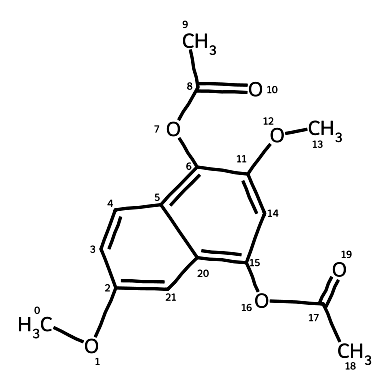 COc1ccc2c(OC(C)=O)c(OC)cc(OC(C)=O)c2c1